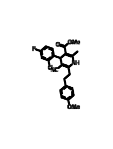 COC(=O)C1=C(C)NC(CCc2ccc(OC)cc2)=C(C#N)C1c1ccc(F)cc1Cl